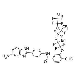 Nc1ccc2[nH]c(-c3ccc(NC(=O)c4ccc(C=O)c(OC(F)(F)C(F)(Br)OC(F)(F)C(F)(OC(F)(F)C(F)(F)C(F)(F)F)C(F)(F)F)c4)cc3)nc2c1